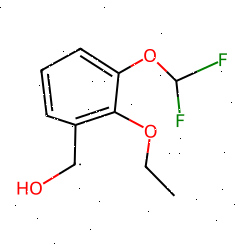 CCOc1c([CH]O)cccc1OC(F)F